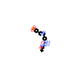 CC(C)(C)c1cc(NC(=O)Nc2ccc(-c3cnc4cc(-c5ccc(S(C)(=O)=O)cc5)ccn34)cc2)no1